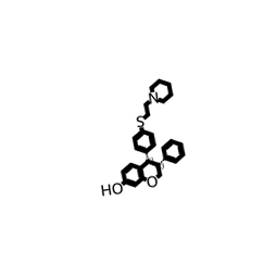 Oc1ccc2c(c1)OC[C@@H](c1ccccc1)[C@H]2c1ccc(SCCN2CCCCC2)cc1